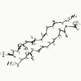 CCCCCCCCCCCCCC(=O)OCCCC.CCCCCCCCCCCCCC(=O)OCCCC